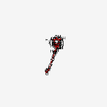 CC[C@H](C)[C@@H]1NC(=O)CNC(=O)[C@@H]2Cc3c([nH]c4c(CSCCCCNC(=O)NCCOCCOCCOCCOCCOCCOCCOCCn5cc(CN6C(=O)C=CC6=O)nn5)c(O)ccc34)[S+]([O-])C[C@H](NC(=O)CNC1=O)C(=O)N[C@@H](CCC(N)=O)C(=O)N1C[C@H](O)C[C@H]1C(=O)N[C@@H]([C@@H](C)[C@@H](O)CO)C(=O)N2